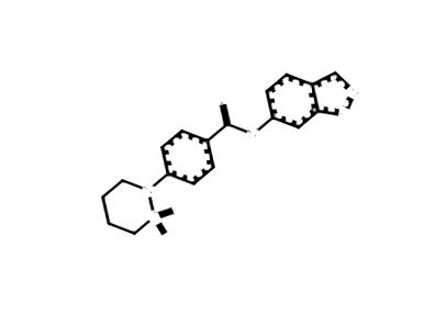 O=C(Nc1ccc2cnoc2c1)c1ccc(N2CCCCS2(=O)=O)cc1